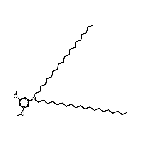 CCCCCCCCCCCCCCCCCCCCN(CCCCCCCCCCCCCCCCCCCC)c1cc(OC)cc(OC)c1